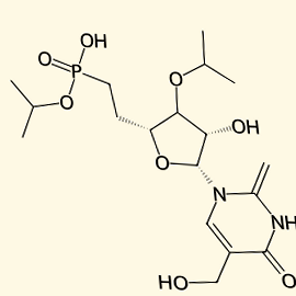 C=C1NC(=O)C(CO)=CN1[C@@H]1O[C@H](CCP(=O)(O)OC(C)C)C(OC(C)C)[C@@H]1O